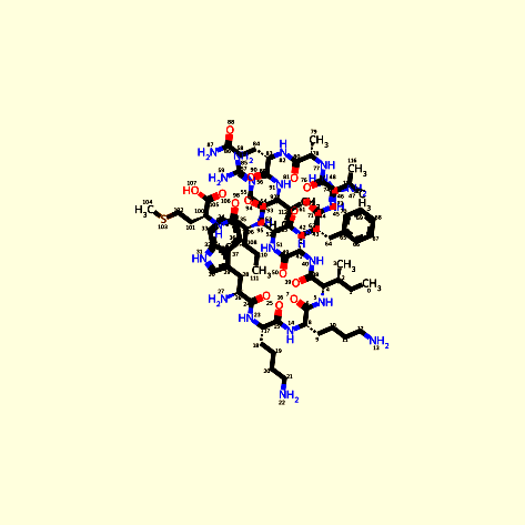 CC[C@H](C)[C@H](NC(=O)[C@H](CCCCN)NC(=O)[C@H](CCCCN)NC(=O)[C@@H](N)Cc1c[nH]c2ccccc12)C(=O)N[C@@H](CCCN=C(N)N)C(=O)N[C@@H](CCCN=C(N)N)C(=O)N[C@@H](Cc1ccccc1)C(=O)N[C@H](C(=O)N[C@@H](C)C(=O)N[C@@H](CCC(N)=O)C(=O)N[C@H](C(=O)N[C@H](C(=O)N[C@@H](CCSC)C(=O)O)[C@@H](C)CC)C(C)C)C(C)C